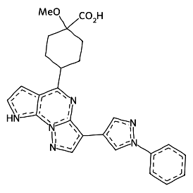 COC1(C(=O)O)CCC(c2nc3c(-c4cnn(-c5ccccc5)c4)cnn3c3[nH]ccc23)CC1